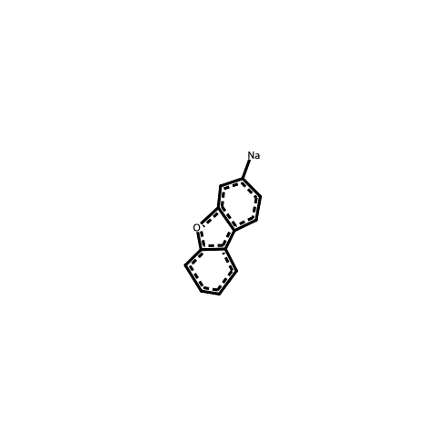 [Na][c]1ccc2c(c1)oc1ccccc12